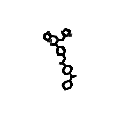 CN(C1CCCCC1)[C@H]1CC[C@H](NCc2ccc(C(=O)N(Cc3ncc[nH]3)Cc3ncc[nH]3)cc2)CC1